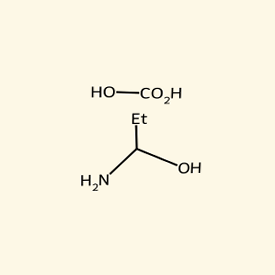 CCC(N)O.O=C(O)O